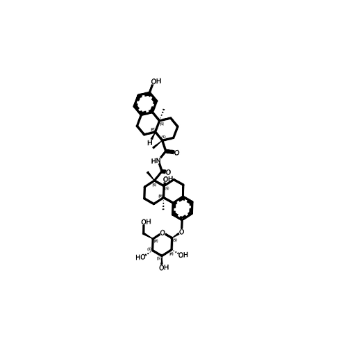 C[C@]1(C(=O)NC(=O)[C@@]2(C)CCC[C@]3(C)c4cc(O[C@@H]5O[C@H](CO)[C@@H](O)[C@H](O)[C@H]5O)ccc4CC[C@@]23O)CCC[C@]2(C)c3cc(O)ccc3CC[C@@H]12